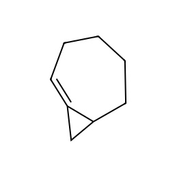 C1=C2CC2CCCC1